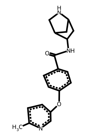 Cc1ccc(Oc2ccc(C(=O)NC3CC4CC3CN4)cc2)cn1